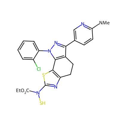 CCOC(=O)N(S)c1nc2c(s1)-c1c(c(-c3ccc(NC)nc3)nn1-c1ccccc1Cl)CC2